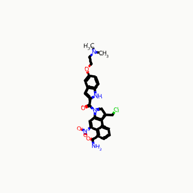 CN(C)CCOc1ccc2[nH]c(C(=O)N3CC(CCl)c4c3cc([N+](=O)[O-])c3c(C(N)=O)cccc43)cc2c1